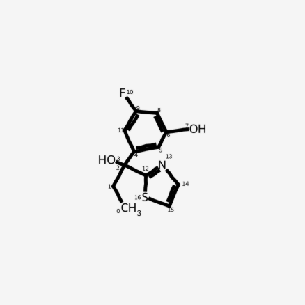 CCC(O)(c1cc(O)cc(F)c1)c1nccs1